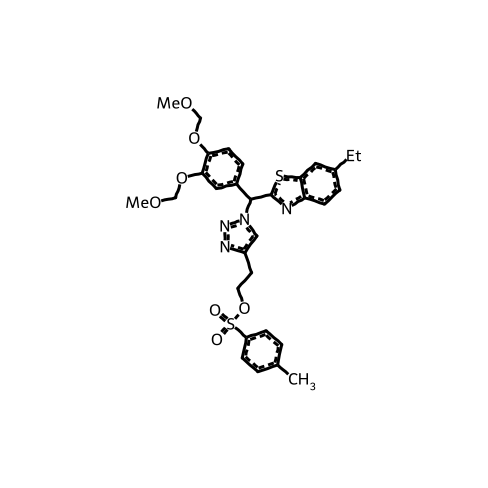 CCc1ccc2nc(C(c3ccc(OCOC)c(OCOC)c3)n3cc(CCOS(=O)(=O)c4ccc(C)cc4)nn3)sc2c1